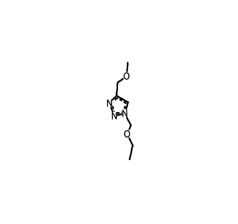 CCOCn1cc(COC)nn1